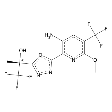 COc1nc(-c2nnc([C@@](C)(O)C(F)(F)F)o2)c(N)cc1C(F)(F)F